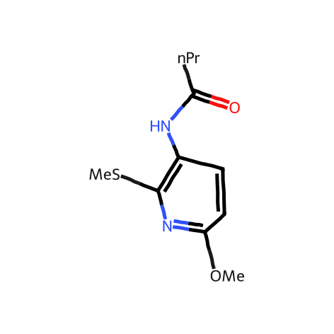 CCCC(=O)Nc1ccc(OC)nc1SC